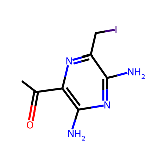 CC(=O)c1nc(CI)c(N)nc1N